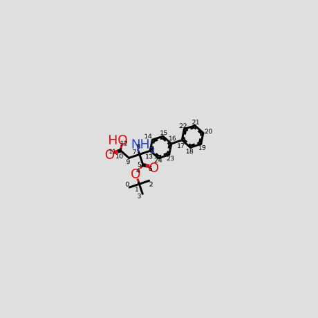 CC(C)(C)OC(=O)C(N)(CC(=O)O)c1ccc(-c2ccccc2)cc1